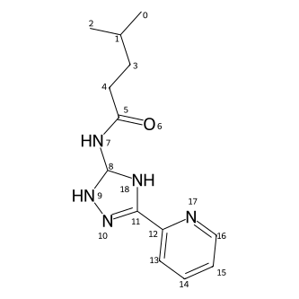 CC(C)CCC(=O)NC1NN=C(c2ccccn2)N1